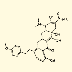 COc1ccc(CCc2ccc(O)c3c2CC2CC4C(N(C)C)C(O)=C(C(N)=O)CC4(O)C(O)=C2C3=O)cc1